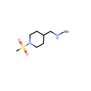 CC(C)(C)NCC1CCN(S(C)(=O)=O)CC1